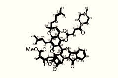 COC(=O)/C(C)=C\CC1(O)C(=O)C2CC(C(C)C)C13Oc1c(CC=C(C)C)c4c(c(OC(=O)CCC(=O)N5CCN(C)CC5)c1C1=C3C2C2C(=O)c3ccccc3C2=N1)C=CC(C)(CCC=C(C)C)O4